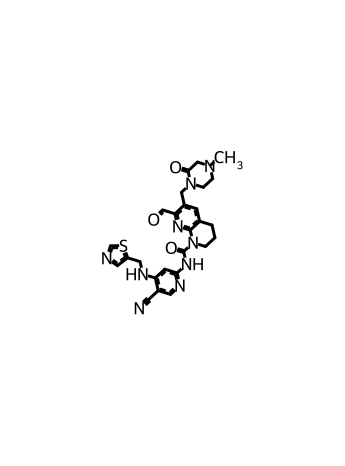 CN1CCN(Cc2cc3c(nc2C=O)N(C(=O)Nc2cc(NCc4cncs4)c(C#N)cn2)CCC3)C(=O)C1